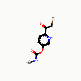 CC(C)(C)NC(=O)Oc1ccc(C(=O)CBr)nc1